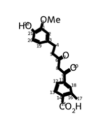 COc1cc(CCC(=O)CC(=O)c2ccc(C(=O)O)c(C)c2)ccc1O